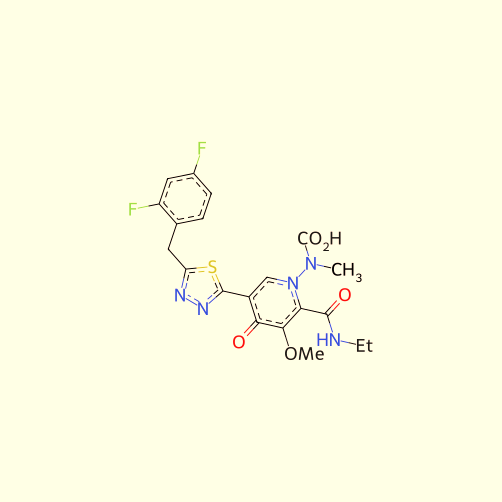 CCNC(=O)c1c(OC)c(=O)c(-c2nnc(Cc3ccc(F)cc3F)s2)cn1N(C)C(=O)O